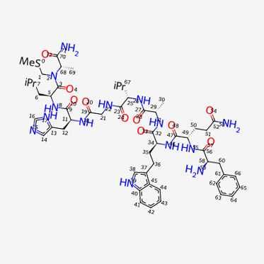 CSCN(C(=O)[C@H](CC(C)C)NC(=O)[C@H](Cc1cnc[nH]1)NC(=O)CNC(=O)[C@@H](NC(=O)[C@H](C)NC(=O)[C@H](CCc1c[nH]c2ccccc12)NC(=O)[C@H](CCC(N)=O)NC(=O)[C@H](N)Cc1ccccc1)C(C)C)[C@@H](C)C(N)=O